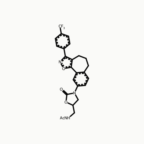 CC(=O)NCC1CN(c2ccc3c(c2)-c2onc(-c4ccc(C(F)(F)F)cc4)c2CCC3)C(=O)O1